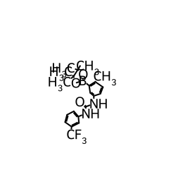 Cc1ccc(NC(=O)Nc2cccc(C(F)(F)F)c2)cc1B1OC(C)(C)C(C)(C)O1